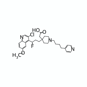 COc1ccc2ncc(Cl)c([C@H](F)CCC3(CC(=O)O)CCN(CCCCc4ccncc4)CC3)c2c1